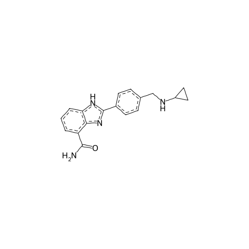 NC(=O)c1cccc2[nH]c(-c3ccc(CNC4CC4)cc3)nc12